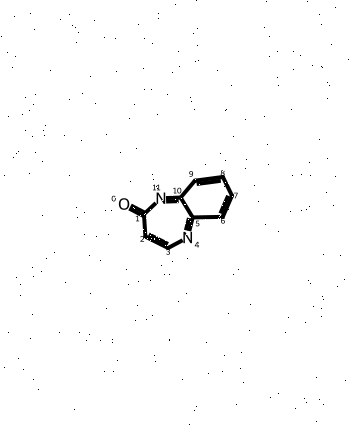 O=c1ccnc2ccccc2n1